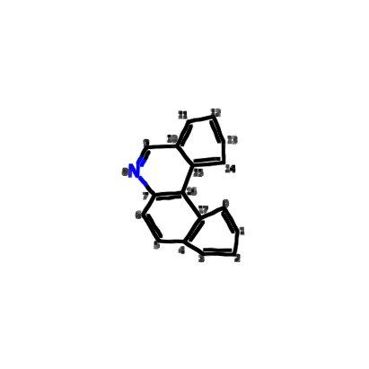 [c]1cccc2ccc3ncc4ccccc4c3c12